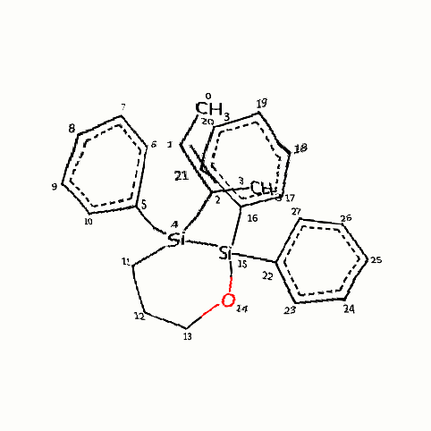 CC=C(C)[Si]1(c2ccccc2)CCCO[Si]1(c1ccccc1)c1ccccc1